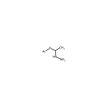 CC(=O)OC(C)NN